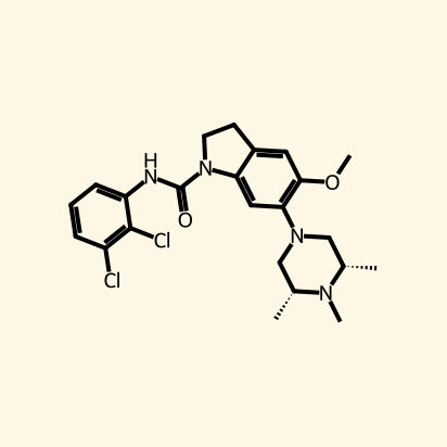 COc1cc2c(cc1N1C[C@@H](C)N(C)[C@@H](C)C1)N(C(=O)Nc1cccc(Cl)c1Cl)CC2